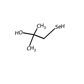 CC(C)(O)C[SeH]